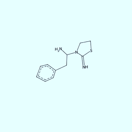 N=C1SCCN1C(N)Cc1ccccc1